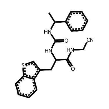 CC(NC(=O)NC(Cc1csc2ccccc12)C(=O)NCC#N)c1ccccc1